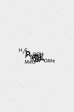 COCCN1CN2CC(OC)c3c(C(=O)NCc4ccc(C)cc4F)c(=O)c(O)c(n32)C1=O